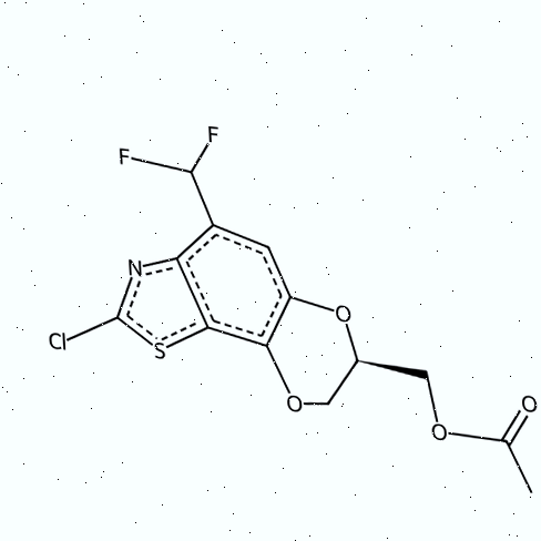 CC(=O)OC[C@H]1COc2c(cc(C(F)F)c3nc(Cl)sc23)O1